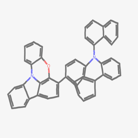 c1ccc(-c2ccccc2N(c2ccc(-c3ccc4c5ccccc5n5c4c3Oc3ccccc3-5)cc2)c2cccc3ccccc23)cc1